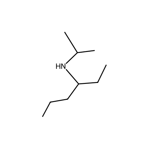 CCCC(CC)NC(C)C